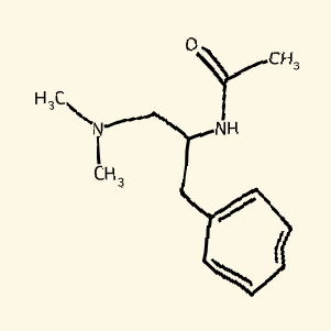 CC(=O)NC(Cc1ccccc1)CN(C)C